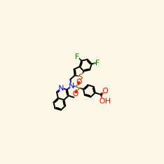 Cc1c(N(Cc2cc3c(F)cc(F)cc3s2)S(=O)(=O)c2ccc(C(=O)O)cc2)ncc2ccccc12